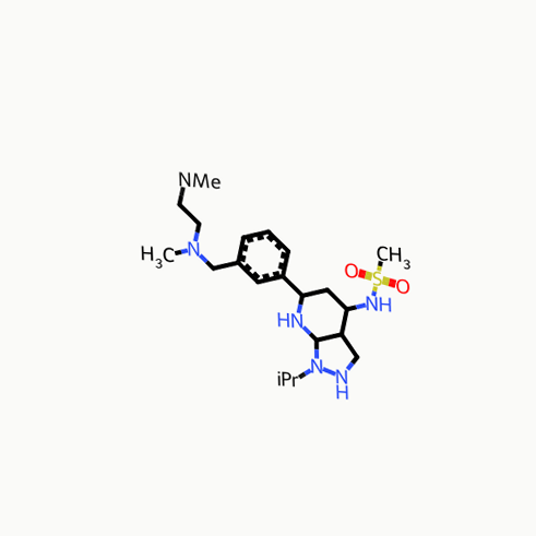 CNCCN(C)Cc1cccc(C2CC(NS(C)(=O)=O)C3CNN(C(C)C)C3N2)c1